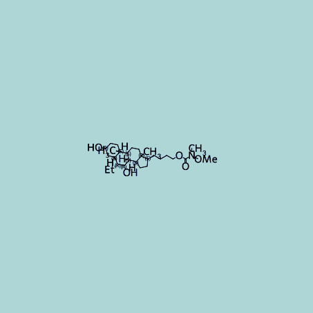 CC[C@H]1[C@@H](O)[C@@H]2[C@H](CC[C@]3(C)[C@@H](CCCCOC(=O)N(C)OC)CC[C@@H]23)[C@@]2(C)CC[C@@H](O)C[C@@H]12